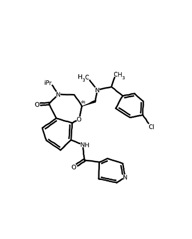 CC(c1ccc(Cl)cc1)N(C)C[C@@H]1CN(C(C)C)C(=O)c2cccc(NC(=O)c3ccncc3)c2O1